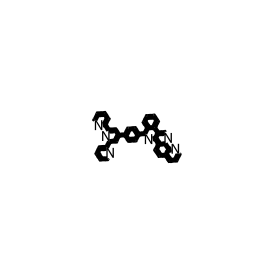 c1ccc(-c2cc(-c3ccc(-c4nc5c(cnc6c5ccc5cccnc56)c5ccccc45)cc3)cc(-c3ccccn3)n2)nc1